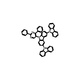 c1ccc(-c2ncc(-n3c4ccc(-n5c6ccccc6c6ccccc65)cc4c4cc(-n5c6ccccc6c6ccccc65)ccc43)c(-c3ccccc3)n2)cc1